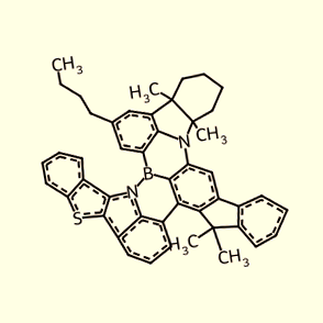 CCCCc1cc2c3c(c1)C1(C)CCCCC1(C)N3c1cc3c(c4c1B2n1c2c-4cccc2c2sc4ccccc4c21)C(C)(C)c1ccccc1-3